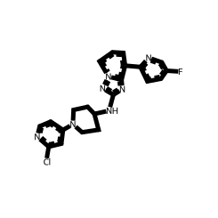 Fc1ccc(-c2cccn3nc(NC4CCN(c5ccnc(Cl)c5)CC4)nc23)nc1